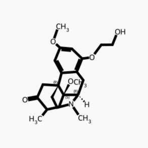 COc1cc(OCCO)c2c(c1)[C@]13CCN(C)[C@H](C2)[C@]1(OC)CC(C)C(=O)C3